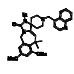 CCN1C(=O)N2Cc3cc(OC)cc(OC)c3C(C)(C)C=C2C12CCN(Cc1ccnc3ccccc13)CC2